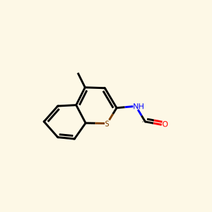 CC1=C2C=CC=CC2SC(N[C]=O)=C1